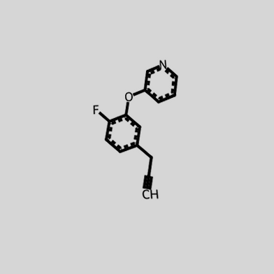 C#CCc1ccc(F)c(Oc2cccnc2)c1